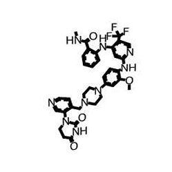 CNC(=O)c1ccccc1Nc1cc(Nc2ccc(N3CCN(Cc4ccncc4N4CCC(=O)NC4=O)CC3)cc2OC)ncc1C(F)(F)F